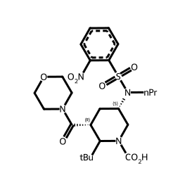 CCCN([C@H]1C[C@@H](C(=O)N2CCOCC2)C(C(C)(C)C)N(C(=O)O)C1)S(=O)(=O)c1ccccc1[N+](=O)[O-]